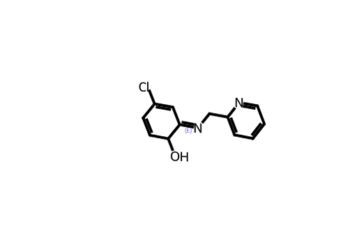 OC1C=CC(Cl)=C/C1=N\Cc1ccccn1